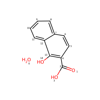 O.O=C(O)c1ccc2ccccc2c1O